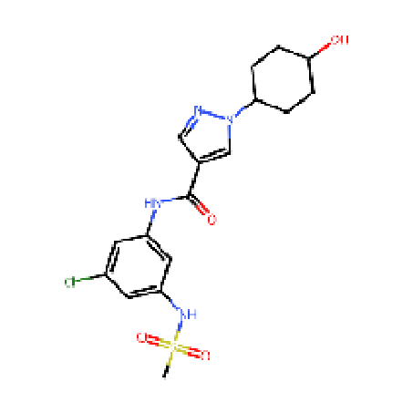 CS(=O)(=O)Nc1cc(Cl)cc(NC(=O)c2cnn(C3CCC(O)CC3)c2)c1